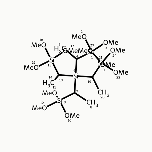 CO[Si](OC)(OC)C(C)[Si](C(C)[Si](OC)(OC)OC)(C(C)[Si](OC)(OC)OC)C(C)[Si](OC)(OC)OC